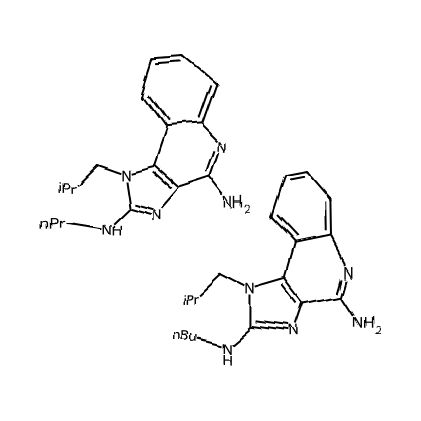 CCCCNc1nc2c(N)nc3ccccc3c2n1CC(C)C.CCCNc1nc2c(N)nc3ccccc3c2n1CC(C)C